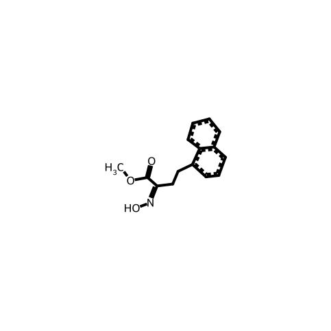 COC(=O)/C(CCc1cccc2ccccc12)=N\O